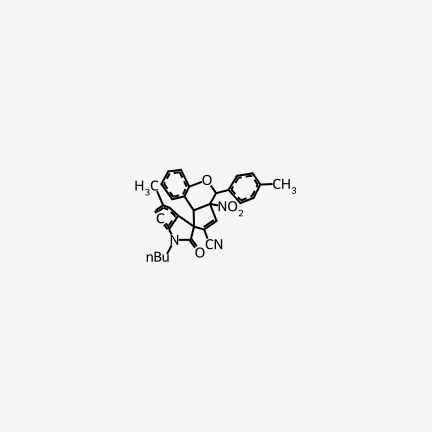 CCCCN1C(=O)C2(C(C#N)=CC3([N+](=O)[O-])C(c4ccc(C)cc4)Oc4ccccc4C23)c2cc(C)ccc21